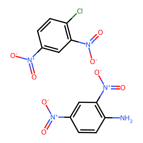 Nc1ccc([N+](=O)[O-])cc1[N+](=O)[O-].O=[N+]([O-])c1ccc(Cl)c([N+](=O)[O-])c1